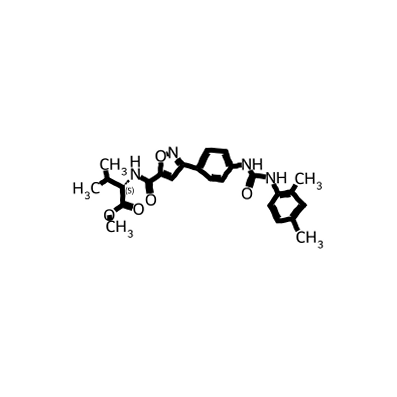 COC(=O)[C@@H](NC(=O)c1cc(-c2ccc(NC(=O)Nc3ccc(C)cc3C)cc2)no1)C(C)C